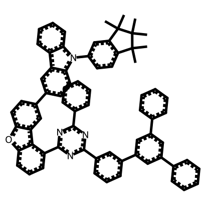 CC1(C)c2ccc(-n3c4ccccc4c4cc(-c5ccc6oc7cccc(-c8nc(-c9ccccc9)nc(-c9cccc(-c%10cc(-c%11ccccc%11)cc(-c%11ccccc%11)c%10)c9)n8)c7c6c5)ccc43)cc2C(C)(C)C1(C)C